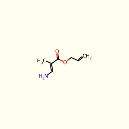 C=CCOC(=O)C(C)=CN